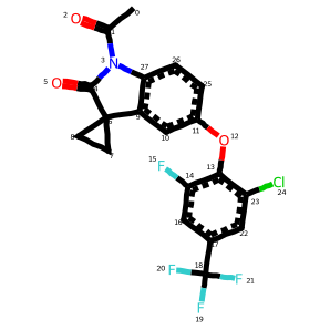 CC(=O)N1C(=O)C2(CC2)c2cc(Oc3c(F)cc(C(F)(F)F)cc3Cl)ccc21